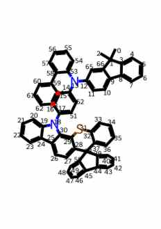 CC1(C)c2ccccc2-c2ccc(N(c3ccc(-n4c5ccccc5c5ccc6c(c54)Sc4ccccc4C64c5ccccc5-c5ccccc54)cc3)c3ccccc3-c3ccccc3)cc21